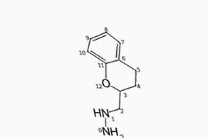 NNCC1CCc2ccccc2O1